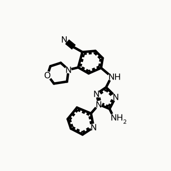 N#Cc1ccc(Nc2nc(N)n(-c3ccccn3)n2)cc1N1CCOCC1